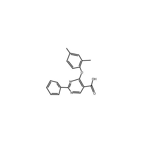 Cc1ccc(Oc2nc(-c3ccccc3)ncc2C(=O)O)c(C)c1